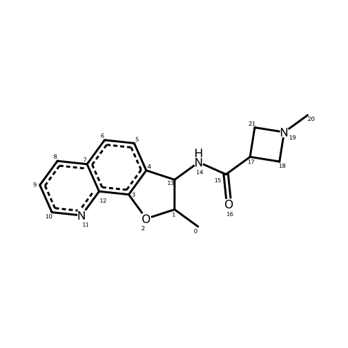 CC1Oc2c(ccc3cccnc23)C1NC(=O)C1CN(C)C1